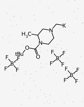 CC1CN([CH2][K])CCN1C(=O)OC(C)(C)C.F[B-](F)(F)F.F[B-](F)(F)F.F[B-](F)(F)F